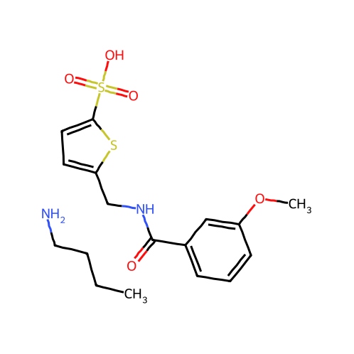 CCCCN.COc1cccc(C(=O)NCc2ccc(S(=O)(=O)O)s2)c1